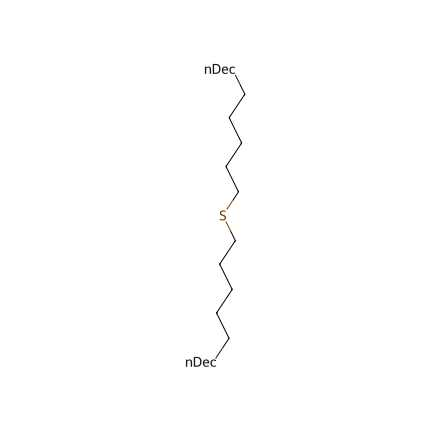 CCCCCCCCCCCCCCCSCCCCCCCCCCCCCCC